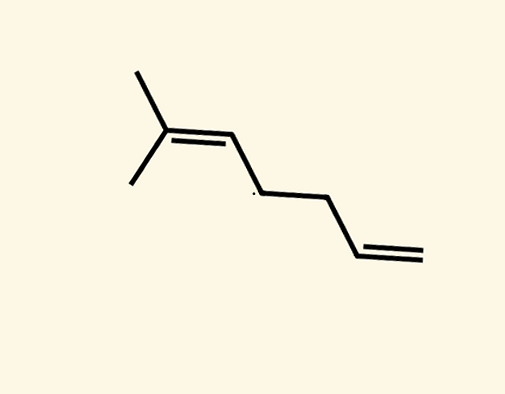 C=CC[CH]C=C(C)C